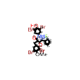 COc1c(Br)cc(CC(C(=O)Nc2cc(Br)c(O)c(Br)c2)C(=O)C(N)c2ccccc2F)cc1Br